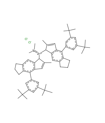 CC1=Cc2c(cc3c(c2-c2cc(C(C)(C)C)cc(C(C)(C)C)c2)CCC3)[CH]1[Zr+2]([CH]1C(C)=Cc2c1cc1c(c2-c2cc(C(C)(C)C)cc(C(C)(C)C)c2)CCC1)=[Si](C)C.[Cl-].[Cl-]